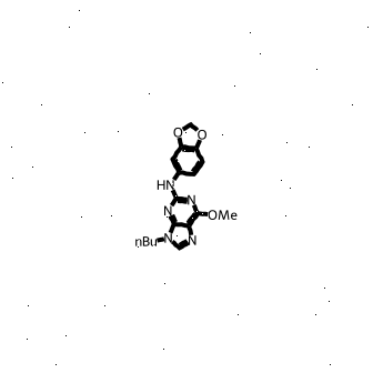 CCCCn1cnc2c(OC)nc(Nc3ccc4c(c3)OCO4)nc21